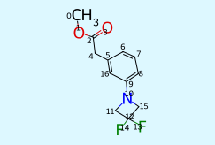 COC(=O)Cc1cccc(N2CC(F)(F)C2)c1